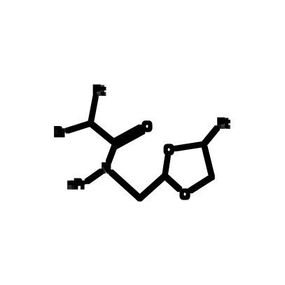 CCCN(CC1OCC(CC)O1)C(=O)C(Br)CC